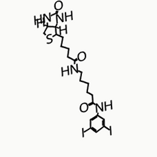 O=C(CCCCC1SC[C@@H]2NC(=O)N[C@H]12)NCCCCCC(=O)Nc1cc(I)cc(I)c1